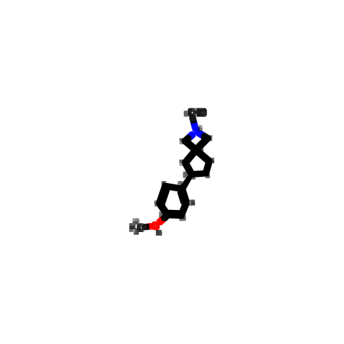 O=CN1CC2(CC[C@@H](c3ccc(OC(F)(F)F)cc3)C2)C1